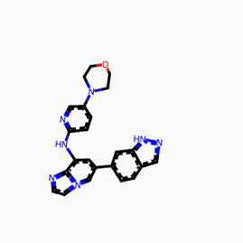 c1cn2cc(-c3ccc4cn[nH]c4c3)cc(Nc3ccc(N4CCOCC4)cn3)c2n1